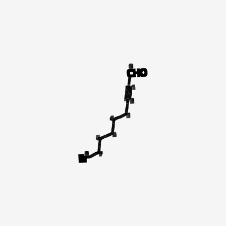 O=CC#CCCCCCBr